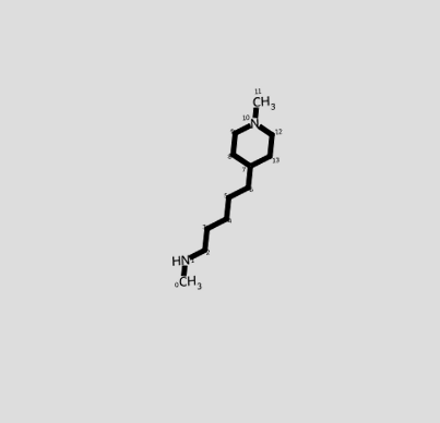 CNCCCCCC1CCN(C)CC1